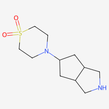 O=S1(=O)CCN(C2CC3CNCC3C2)CC1